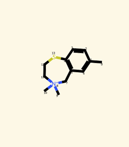 Cc1ccc2c(c1)C[N+](C)(C)CCS2